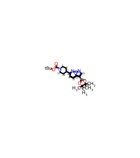 CC(C)(C)OC(=O)N1CCC(c2ccc3c(B4OC(C)(C)C(C)(C)O4)cnn3n2)CC1